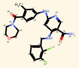 Cc1cc(Nc2cc(NCc3cccc(F)c3F)c(C(N)=O)cn2)ccc1C(=O)N1CCOCC1